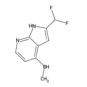 CBc1ccnc2[nH]c(C(F)F)cc12